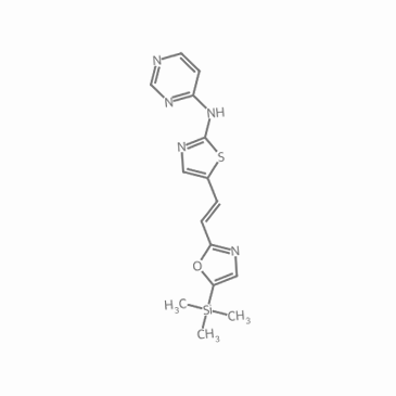 C[Si](C)(C)c1cnc(C=Cc2cnc(Nc3ccncn3)s2)o1